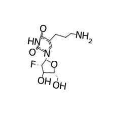 NCCCc1cn([C@@H]2O[C@H](CO)C(O)[C@@H]2F)c(=O)[nH]c1=O